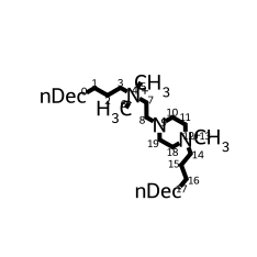 CCCCCCCCCCCCC[N+](C)(C)CCN1CC[N+](C)(CCCCCCCCCCCCC)CC1